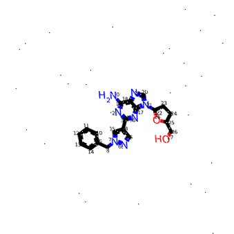 Nc1nc(-c2cnn(Cc3ccccc3)c2)nc2c1ncn2C1[CH]CC(CO)O1